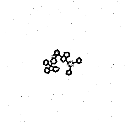 c1ccc(-c2nc(-c3ccccc3)nc(-c3ccc(-c4cccc5oc6cc(C7(c8ccccc8)c8ccccc8-c8ccccc87)ccc6c45)c4ccccc34)n2)cc1